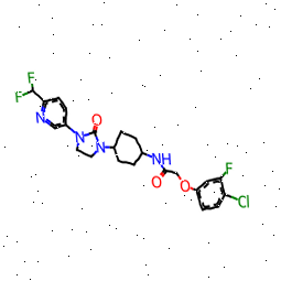 O=C(COc1ccc(Cl)c(F)c1)NC1CCC(N2CCN(c3ccc(C(F)F)nc3)C2=O)CC1